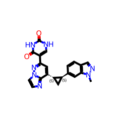 Cn1ncc2ccc([C@H]3C[C@@H]3c3cc(-c4c[nH]c(=O)[nH]c4=O)nn4ccnc34)cc21